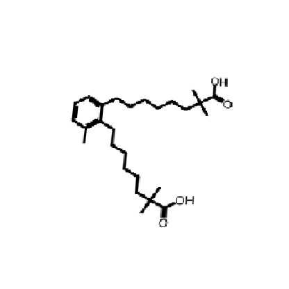 Cc1cccc(CCCCCCC(C)(C)C(=O)O)c1CCCCCCC(C)(C)C(=O)O